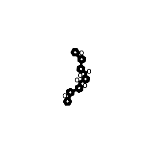 O=c1c2cc(-c3ccc4oc5ccccc5c4c3)ccc2oc2c1ccc1oc3ccc(-c4ccc5oc6ccccc6c5c4)cc3c(=O)c12